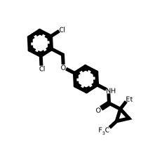 CCC1(C(=O)Nc2ccc(OCc3c(Cl)cccc3Cl)cc2)CC1C(F)(F)F